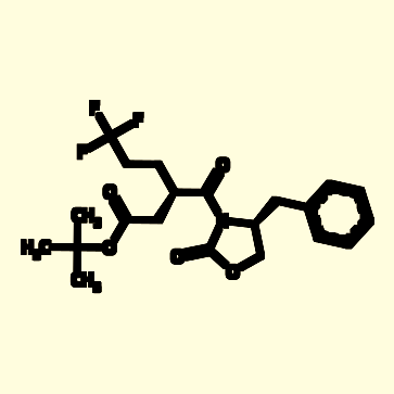 CC(C)(C)OC(=O)C[C@@H](CCC(F)(F)F)C(=O)N1C(=O)OC[C@@H]1Cc1ccccc1